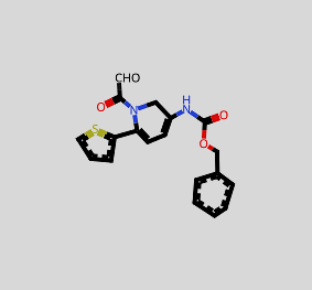 O=CC(=O)N1CC(NC(=O)OCc2ccccc2)=CC=C1c1cccs1